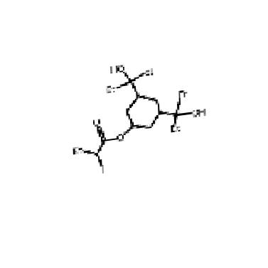 CCC(I)C(=O)OC1CC(C(O)(CC)CC)CC(C(O)(CC)CC)C1